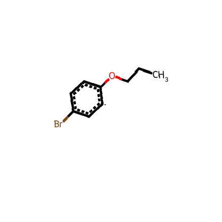 CCCOc1[c]cc(Br)cc1